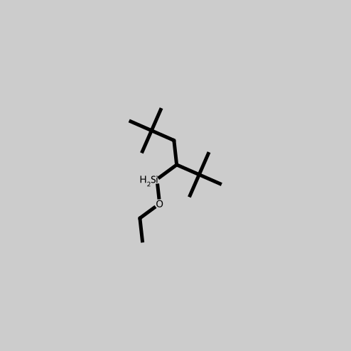 CCO[SiH2]C(CC(C)(C)C)C(C)(C)C